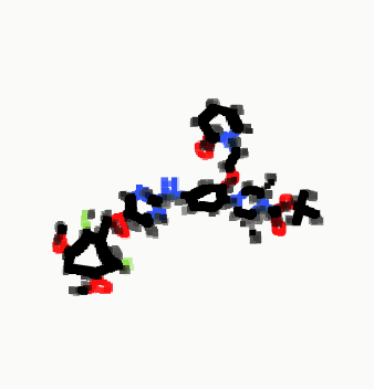 COc1cc(OC)c(F)c(COc2cnc(Nc3ccc(N4C[C@@H](C)N(C(=O)OC(C)(C)C)[C@@H](C)C4)c(OCCn4ccccc4=O)c3)nc2)c1F